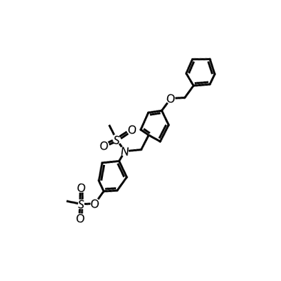 CS(=O)(=O)Oc1ccc(N(Cc2ccc(OCc3ccccc3)cc2)S(C)(=O)=O)cc1